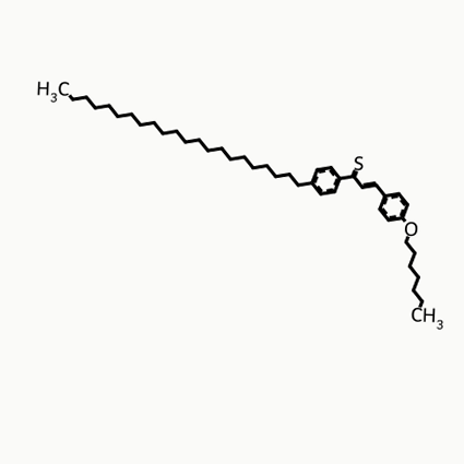 CCCCCCCCCCCCCCCCCCCCCCc1ccc(C(=S)C=Cc2ccc(OCCCCCCC)cc2)cc1